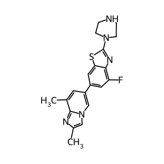 Cc1cn2cc(-c3cc(F)c4nc(N5CCNCC5)sc4c3)cc(C)c2n1